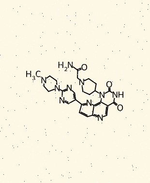 CN1CCN(c2ncc(-c3ccc4ncc5c(=O)[nH]c(=O)n(C6CCN(CC(N)=O)CC6)c5c4n3)cn2)CC1